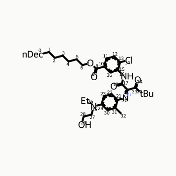 CCCCCCCCCCCCCCCCOC(=O)c1ccc(Cl)c(NC(=O)/C(=N\c2ccc(N(CC)CCO)cc2C)C(=O)C(C)(C)C)c1